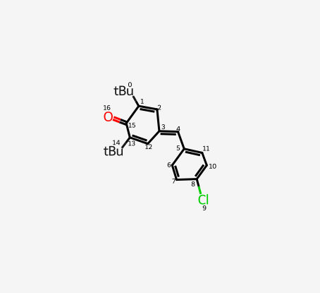 CC(C)(C)C1=CC(=Cc2ccc(Cl)cc2)C=C(C(C)(C)C)C1=O